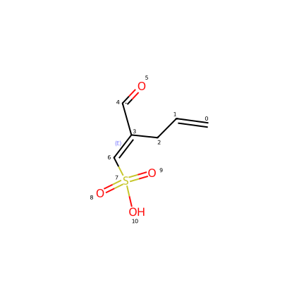 C=CC/C([C]=O)=C\S(=O)(=O)O